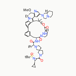 CCn1c(-c2cc(N3CCN4CCCC[C@@H]4C3)cnc2[C@H](C)OC)c2c3cc(ccc31)-c1cccc(c1)C[C@H](NC(=O)[C@H](C(C)C)N1CC[C@]3(CCN(C(=O)[C@H]4[C@@H](C5CC5)N4[S@+]([O-])C(C)(C)C)C3)C1)C(=O)N1CCC[C@H](N1)C(=O)OCC(C)(C)C2